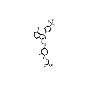 Cc1cc(SCc2nn(-c3ccc(C(F)(F)F)cc3)c3c(F)cccc23)ccc1OCC(=O)O